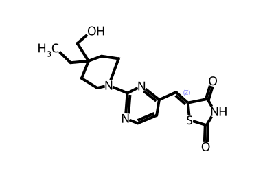 CCC1(CO)CCN(c2nccc(/C=C3\SC(=O)NC3=O)n2)CC1